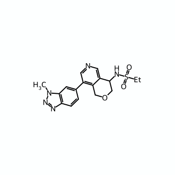 CCS(=O)(=O)NC1COCc2c(-c3ccc4nnn(C)c4c3)cncc21